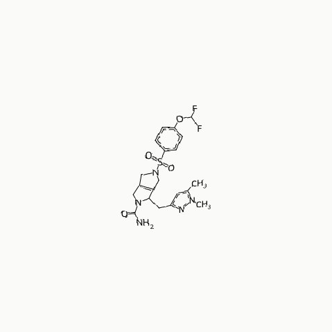 Cc1cc(CC2C3=C(CN2C(N)=O)CN(S(=O)(=O)c2ccc(OC(F)F)cc2)C3)nn1C